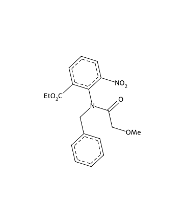 CCOC(=O)c1cccc([N+](=O)[O-])c1N(Cc1ccccc1)C(=O)COC